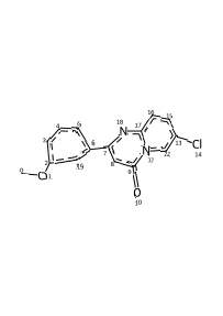 COc1cccc(-c2cc(=O)n3cc(Cl)ccc3n2)c1